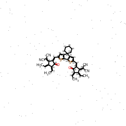 CC=C1C(=C(C#N)C#N)/C(=C/c2cc3c(s2)-c2sc(/C=C4\C(=O)/C(=C/C)C(=CC)C4=C(C#N)C#N)cc2C32CCCCC2)C(=O)/C1=C/C